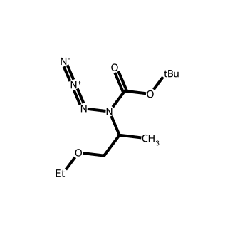 CCOCC(C)N(N=[N+]=[N-])C(=O)OC(C)(C)C